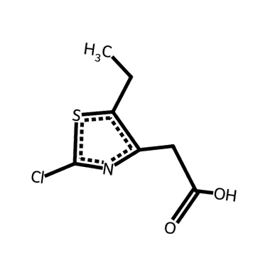 CCc1sc(Cl)nc1CC(=O)O